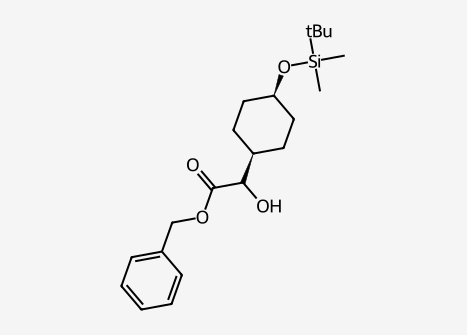 CC(C)(C)[Si](C)(C)O[C@H]1CC[C@@H](C(O)C(=O)OCc2ccccc2)CC1